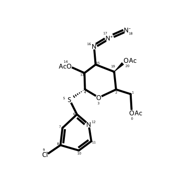 CC(=O)OCC1O[C@H](Sc2cc(Cl)ccn2)C(OC(C)=O)C(N=[N+]=[N-])[C@H]1OC(C)=O